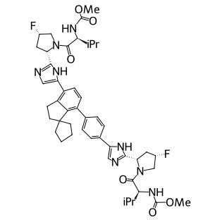 COC(=O)N[C@H](C(=O)N1C[C@@H](F)C[C@H]1c1ncc(-c2ccc(-c3ccc(-c4cnc([C@@H]5C[C@H](F)CN5C(=O)[C@@H](NC(=O)OC)C(C)C)[nH]4)c4c3C3(CCCC3)CC4)cc2)[nH]1)C(C)C